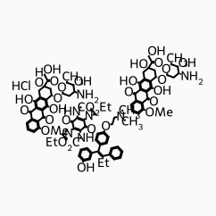 CC/C(=C(/c1ccc(OCCN(C)C)cc1)c1cccc(O)c1)c1ccccc1.CCOC(=O)NC1=C(N2CC2)C(=O)C(NC(=O)OCC)=C(N2CC2)C1=O.COc1cccc2c1C(=O)c1c(O)c3c(c(O)c1C2=O)C[C@@](O)(C(=O)CO)C[C@@H]3OC1CC(N)C(O)C(C)O1.COc1cccc2c1C(=O)c1c(O)c3c(c(O)c1C2=O)C[C@@](O)(C(=O)CO)C[C@@H]3O[C@H]1C[C@H](N)[C@H](O)[C@H](C)O1.Cl